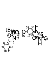 CC(C)(C)OC(=O)N(CCc1ccccc1)C[C@H](O)COc1ccc(NC2SC(=O)NC2=O)cc1